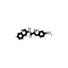 NC(Cc1ccc([N+](=O)[O-])cc1)C(=O)Nc1cnc2ccccc2c1